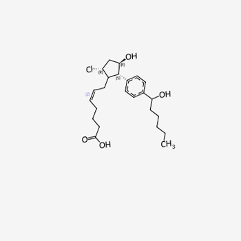 CCCCCC(O)c1ccc([C@@H]2C(C/C=C\CCCC(=O)O)[C@H](Cl)C[C@H]2O)cc1